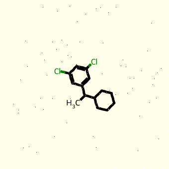 CC(c1cc(Cl)[c]c(Cl)c1)C1CCCCC1